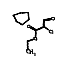 C1CCCCC1.CCOC(=O)C(Cl)C=O